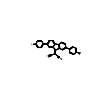 N#CC(C#N)=C1c2cc(-c3ccc(F)cc3)ccc2-c2ccc(-c3ccc(F)cc3)cc21